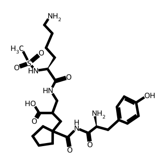 CS(=O)(=O)N[C@@H](CCCCN)C(=O)NCC(CC1(C(=O)NC(=O)[C@@H](N)Cc2ccc(O)cc2)CCCC1)C(=O)O